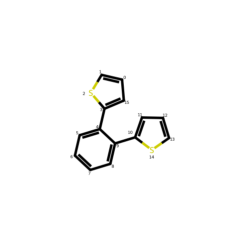 c1csc(-c2ccccc2-c2cccs2)c1